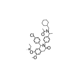 CC[C@@H](C)Oc1cc2c(cc1OC)CC(=O)N(c1ccc(C(C)N(CC3CCCCC3)C(C)=O)cc1)C2c1ccc(Cl)cc1